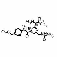 CC(C)[C@H](N)C(=O)N[C@@H](CCCNC(N)=O)C(=O)Nc1ccc(COC=O)cc1